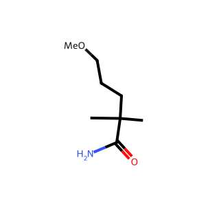 COCCCC(C)(C)C(N)=O